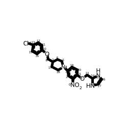 O=[N+]([O-])c1cc(N2CCC(COc3ccc(Cl)cc3)CC2)ccc1OCC1NC=CN1